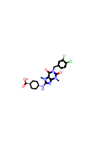 Cn1c(N[C@H]2CC[C@H](C(=O)O)CC2)nc2c1c(=O)n(Cc1ccc(Cl)c(Cl)c1)c(=O)n2C